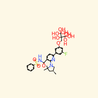 C[C@@H]1CN(c2nc(-c3cc(F)cc(OCC(O)(C(O)(O)O)C(O)(O)O)c3)ccc2C(=O)NS(=O)(=O)c2ccccc2)C(C)(C)C1